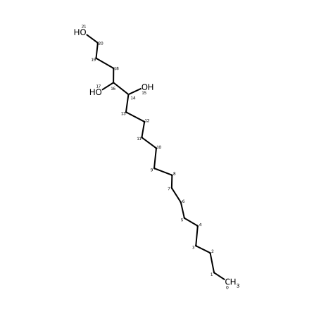 CCCCCCCCCCCCCCC(O)C(O)CCCO